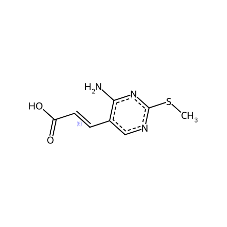 CSc1ncc(/C=C/C(=O)O)c(N)n1